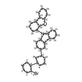 Brc1ccccc1-c1cccc(-c2ccc3c(c2)c2ccccc2n3-c2cccc3c2oc2ccccc23)c1